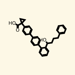 O=C(O)C1(c2ccc(-c3ccc(-c4ccccc4C(O)CCCc4ccccc4)cc3)cc2)CC1